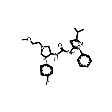 COCCN1CC(NC(=O)Nc2cc(C(C)C)nn2-c2ccccc2)[C@H](c2ccc(F)cc2)C1